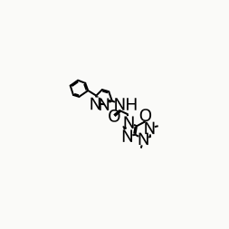 CN1CN(C)c2ncn(CC(=O)Nc3ccc(-c4ccccc4)nn3)c2C1=O